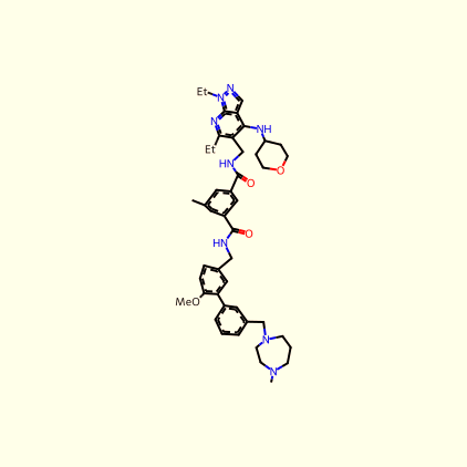 CCc1nc2c(cnn2CC)c(NC2CCOCC2)c1CNC(=O)c1cc(C)cc(C(=O)NCc2ccc(OC)c(-c3cccc(CN4CCCN(C)CC4)c3)c2)c1